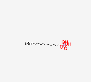 CC(C)(C)CCCCCCCCCCCOP(=O)(O)O